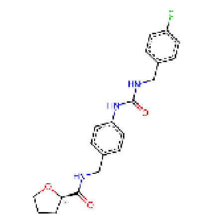 O=C(NCc1ccc(Cl)cc1)Nc1ccc(CNC(=O)[C@H]2CCCO2)cc1